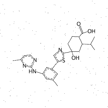 Cc1cc(Nc2nccc(C)n2)cc(-c2cnc(C3(O)CCC(C(=O)O)C(C(C)C)C3)s2)c1